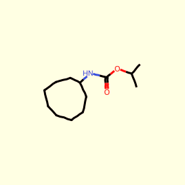 CC(C)OC(=O)NC1CCCCCCCC1